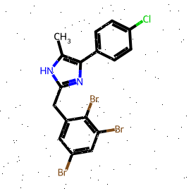 Cc1[nH]c(Cc2cc(Br)cc(Br)c2Br)nc1-c1ccc(Cl)cc1